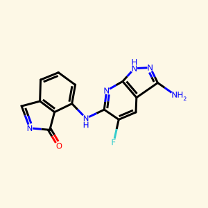 Nc1n[nH]c2nc(Nc3cccc4c3C(=O)N=C4)c(F)cc12